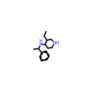 CCC1CNCCC1NC(C)c1ccccc1